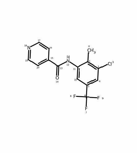 Cc1c(Cl)cc(C(F)(F)F)cc1NC(=O)c1ccncc1